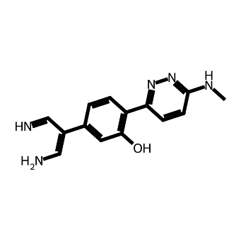 CNc1ccc(-c2ccc(/C(C=N)=C/N)cc2O)nn1